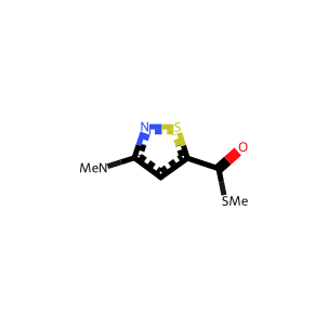 CNc1cc(C(=O)SC)sn1